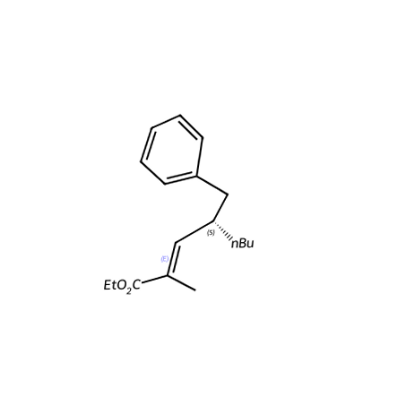 CCCC[C@H](/C=C(\C)C(=O)OCC)Cc1ccccc1